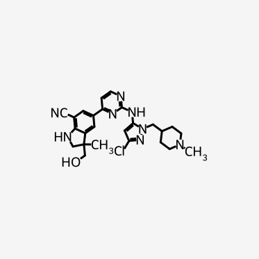 CN1CCC(Cn2nc(Cl)cc2Nc2nccc(-c3cc(C#N)c4c(c3)C(C)(CO)CN4)n2)CC1